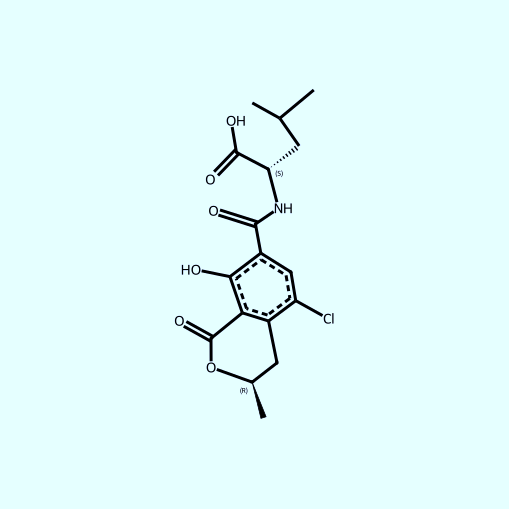 CC(C)C[C@H](NC(=O)c1cc(Cl)c2c(c1O)C(=O)O[C@H](C)C2)C(=O)O